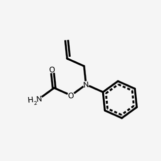 C=CCN(OC(N)=O)c1ccccc1